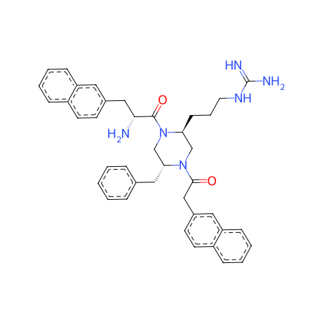 N=C(N)NCCC[C@H]1CN(C(=O)Cc2ccc3ccccc3c2)[C@H](Cc2ccccc2)CN1C(=O)[C@H](N)Cc1ccc2ccccc2c1